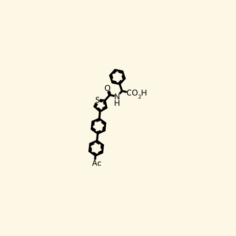 CC(=O)c1ccc(-c2ccc(-c3csc(C(=O)NC(C(=O)O)c4ccccc4)c3)cc2)cc1